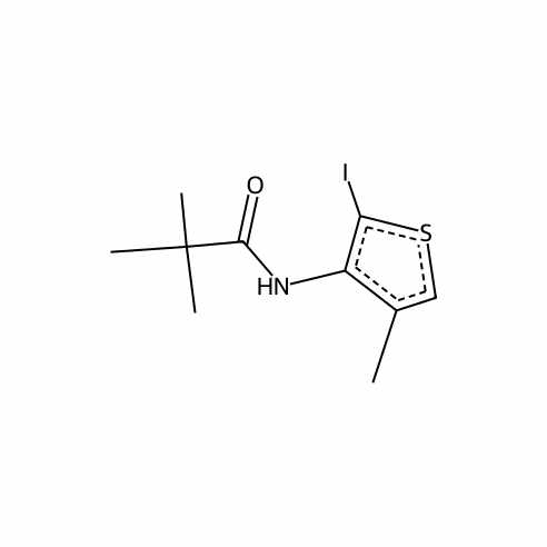 Cc1csc(I)c1NC(=O)C(C)(C)C